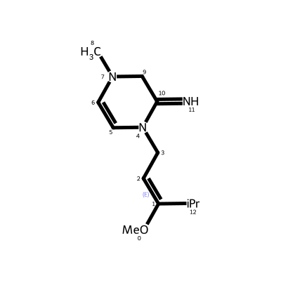 CO/C(=C/CN1C=CN(C)CC1=N)C(C)C